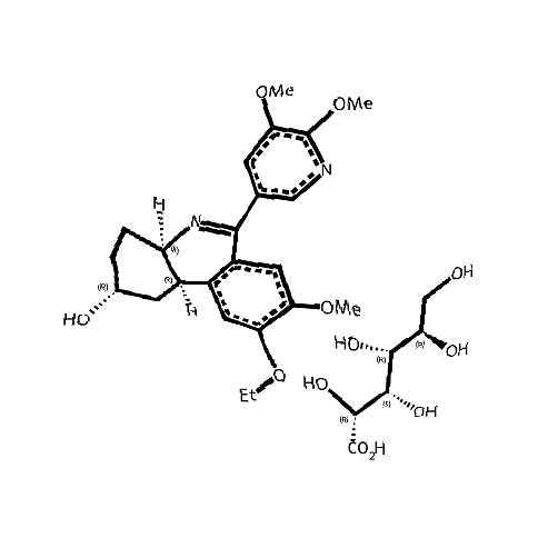 CCOc1cc2c(cc1OC)C(c1cnc(OC)c(OC)c1)=N[C@@H]1CC[C@@H](O)C[C@H]21.O=C(O)[C@H](O)[C@@H](O)[C@H](O)[C@H](O)CO